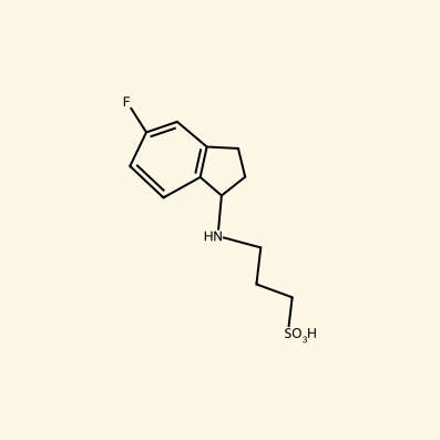 O=S(=O)(O)CCCNC1CCc2cc(F)ccc21